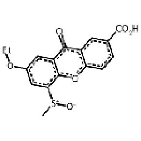 CCOc1cc([S+](C)[O-])c2oc3ccc(C(=O)O)cc3c(=O)c2c1